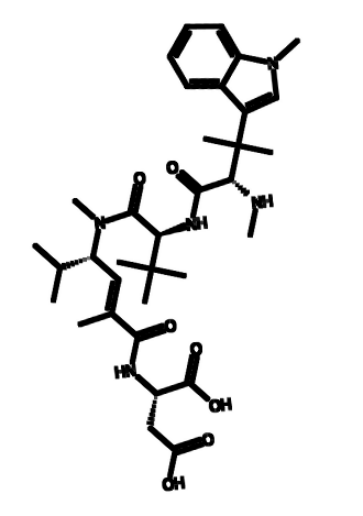 CN[C@H](C(=O)N[C@H](C(=O)N(C)[C@H](/C=C(\C)C(=O)N[C@@H](CC(=O)O)C(=O)O)C(C)C)C(C)(C)C)C(C)(C)c1cn(C)c2ccccc12